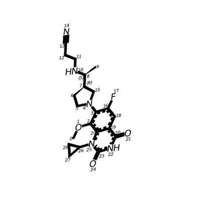 COc1c(N2CC[C@@H]([C@H](C)NCCC#N)C2)c(F)cc2c(=O)[nH]c(=O)n(C3CC3)c12